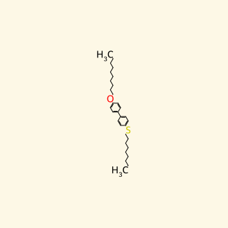 CCCCCCCCCCOc1ccc(-c2ccc(SCCCCCCCCC)cc2)cc1